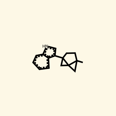 CC12CCC3(c4c[nH]c5ccccc45)CC13C2